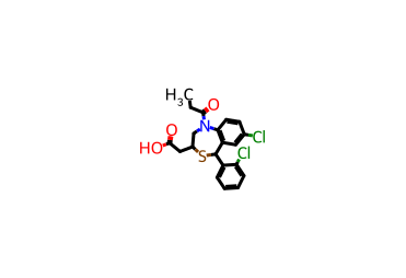 CCC(=O)N1CC(CC(=O)O)SC(c2ccccc2Cl)c2cc(Cl)ccc21